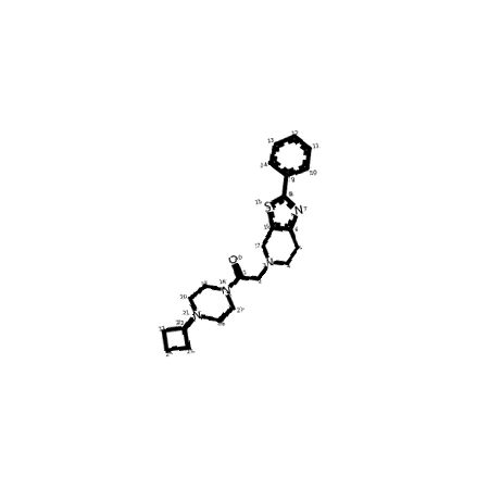 O=C(CN1CCc2nc(-c3ccccc3)sc2C1)N1CCN(C2CCC2)CC1